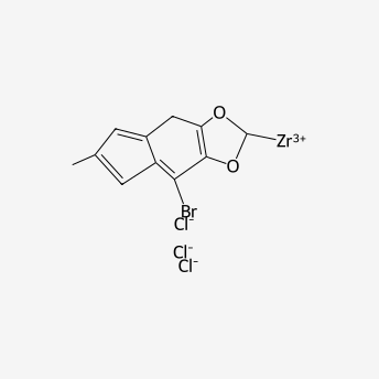 CC1=CC2=C(Br)C3=C(CC2=C1)O[CH]([Zr+3])O3.[Cl-].[Cl-].[Cl-]